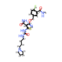 CNC(=O)c1cc(COc2nsc(NC(=O)NCCCCN3CCCC3)c2C(N)=O)ccc1F